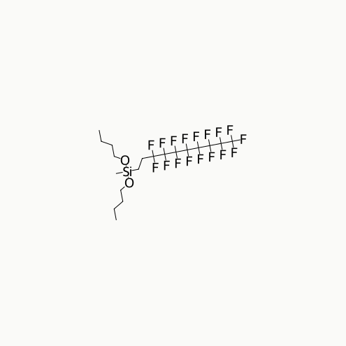 CCCCO[Si](C)(CCC(F)(F)C(F)(F)C(F)(F)C(F)(F)C(F)(F)C(F)(F)C(F)(F)C(F)(F)F)OCCCC